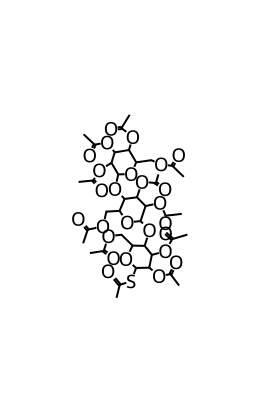 CC(=O)OCC1OC(OC2C(COC(C)=O)OC(OC3C(COC(C)=O)OC(SC(C)=O)C(OC(C)=O)C3OC(C)=O)C(OC(C)=O)C2OC(C)=O)C(OC(C)=O)C(OC(C)=O)C1OC(C)=O